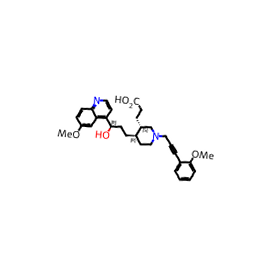 COc1ccc2nccc([C@H](O)CC[C@@H]3CCN(CC#Cc4ccccc4OC)C[C@H]3CCC(=O)O)c2c1